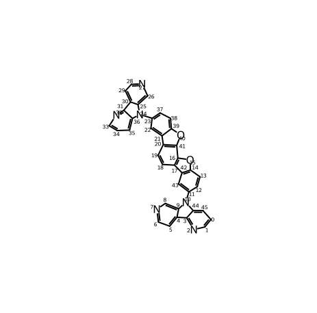 c1cnc2c3ccncc3n(-c3ccc4oc5c(ccc6c7cc(-n8c9cnccc9c9ncccc98)ccc7oc65)c4c3)c2c1